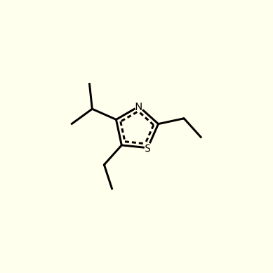 CCc1nc(C(C)C)c(CC)s1